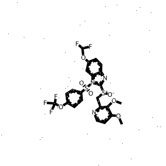 COc1ccnc(C[S+]([O-])c2nc3ccc(OC(F)F)cc3n2S(=O)(=O)c2ccc(OC(F)(F)F)cc2)c1OC